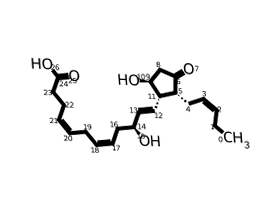 CC/C=C\C[C@H]1C(=O)C[C@H](O)[C@H]1/C=C/[C@@H](O)C/C=C\C/C=C\CCC(=O)O